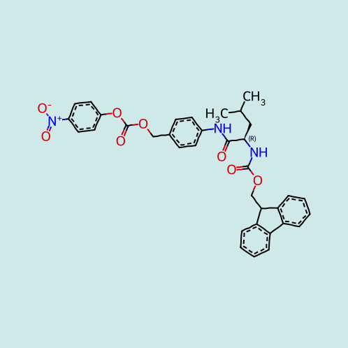 CC(C)C[C@@H](NC(=O)OCC1c2ccccc2-c2ccccc21)C(=O)Nc1ccc(COC(=O)Oc2ccc([N+](=O)[O-])cc2)cc1